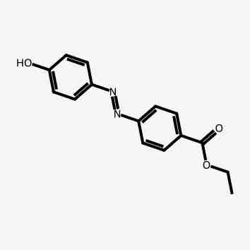 CCOC(=O)c1ccc(N=Nc2ccc(O)cc2)cc1